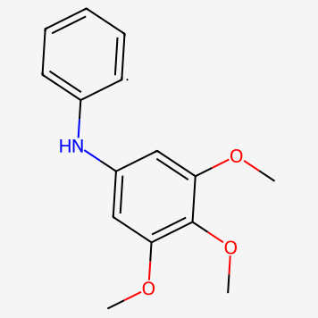 COc1cc(Nc2[c]cccc2)cc(OC)c1OC